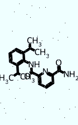 CC(C)c1cccc(C(C)C)c1NC(=O)c1cccc(C(N)=O)n1